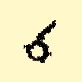 CCOC(C)(C)CCn1cc(COCCO[C@@H]2CC[C@@H](C[C@@H](C)[C@@H]3CC(=O)[C@H](C)/C=C(\C)[C@@H](O)[C@@H](OC)C(=O)[C@H](C)C[C@H](C)/C=C/C=C/C=C(\C)[C@@H](OC)C[C@@H]4CC[C@@H](C)[C@](O)(O4)C(=O)C(=O)N4CCCCC4C(=O)O3)C[C@H]2OC)nn1